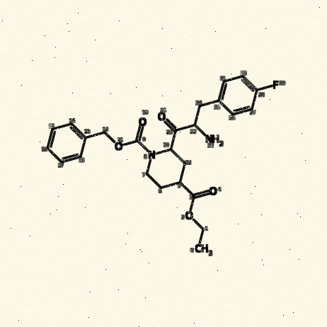 CCOC(=O)C1CCN(C(=O)OCc2ccccc2)C(C(=O)C(N)Cc2ccc(F)cc2)C1